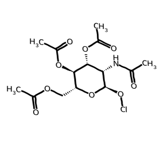 CC(=O)N[C@@H]1[C@@H](OCl)O[C@H](COC(C)=O)[C@@H](OC(C)=O)[C@@H]1OC(C)=O